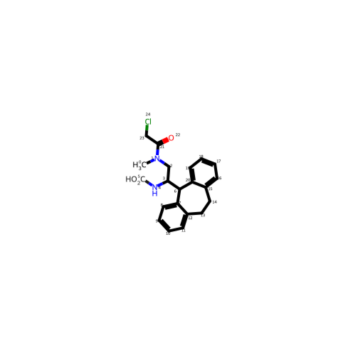 CN(CC(NC(=O)O)C1c2ccccc2CCc2ccccc21)C(=O)CCl